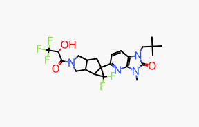 Cn1c(=O)n(CC(C)(C)C)c2ccc(C34CC5CN(C(=O)C(O)C(F)(F)F)CC5C3C4(F)F)nc21